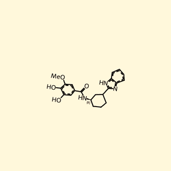 COc1cc(C(=O)N[C@@H]2CCCC(c3nc4ccccc4[nH]3)C2)cc(O)c1O